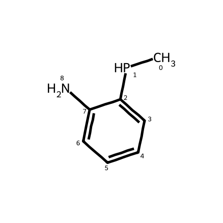 CPc1ccccc1N